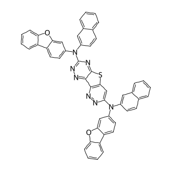 c1ccc2cc(N(c3ccc4c(c3)oc3ccccc34)c3cc4sc5nc(N(c6ccc7ccccc7c6)c6ccc7c(c6)oc6ccccc67)nnc5c4nn3)ccc2c1